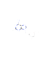 Nc1nc(Cl)nc2c1ncn2C[C@@H]1O[C@H](CO)C[C@@H]1F